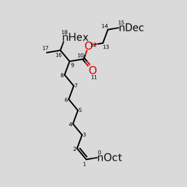 CCCCCCCC/C=C\CCCCCCC(C(=O)OCCCCCCCCCCCC)C(C)CCCCCC